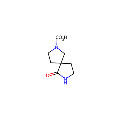 O=C(O)N1CCC2(CCNC2=O)C1